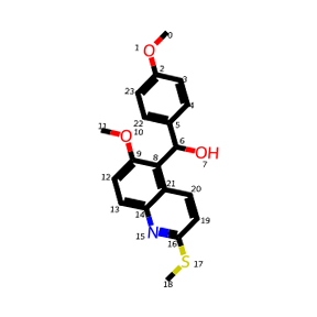 COc1ccc(C(O)c2c(OC)ccc3nc(SC)ccc23)cc1